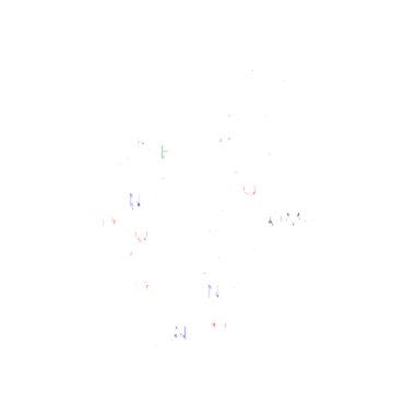 COc1cc(C2CN(C(=O)c3cc(OCCOC(=O)N4CCC(F)(F)CC4)ccn3)C2)ccc1OCc1ccc(C2CC2)cc1